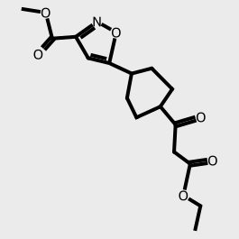 CCOC(=O)CC(=O)C1CCC(c2cc(C(=O)OC)no2)CC1